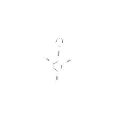 N#Cc1cc(C#N)c(C#Cn2cccc2)c(C#N)c1